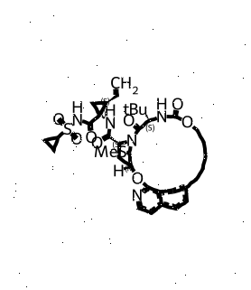 C=C[C@@H]1C[C@]1(NC(=O)[C@@H]1C[C@H]2Oc3nccc4ccc(cc34)CCCCCOC(=O)N[C@@H](C(C)(C)C)C(=O)N1C2SC)C(=O)NS(=O)(=O)C1CC1